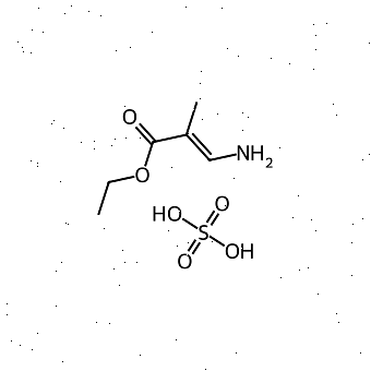 CCOC(=O)C(C)=CN.O=S(=O)(O)O